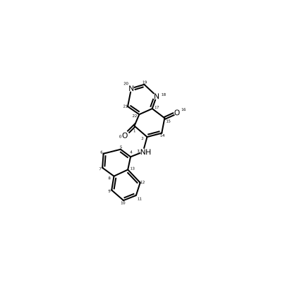 O=C1C(Nc2cccc3ccccc23)=CC(=O)c2ncncc21